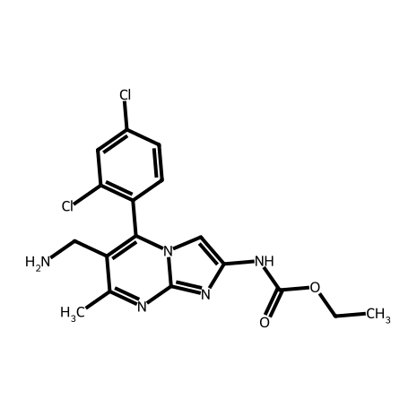 CCOC(=O)Nc1cn2c(-c3ccc(Cl)cc3Cl)c(CN)c(C)nc2n1